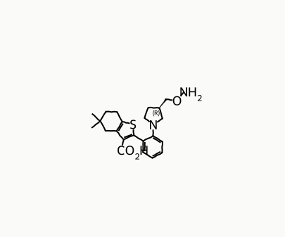 CC1(C)CCc2sc(-c3ccccc3N3CC[C@@H](CON)C3)c(C(=O)O)c2C1